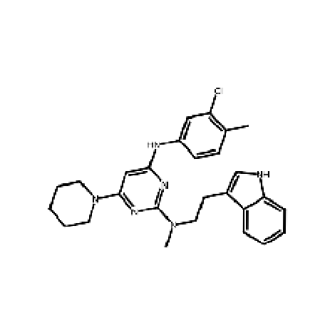 Cc1ccc(Nc2cc(N3CCCCC3)nc(N(C)CCc3c[nH]c4ccccc34)n2)cc1Cl